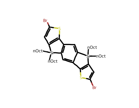 CCCCCCCC[Si]1(CCCCCCCC)c2cc3c(cc2-c2sc(Br)cc21)[Si](CCCCCCCC)(CCCCCCCC)c1cc(Br)sc1-3